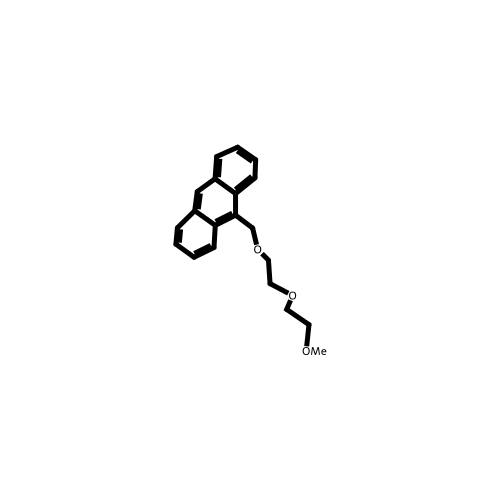 COCCOCCOCc1c2ccccc2cc2ccccc12